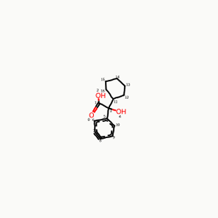 O=C(O)C(O)(c1cc#ccc1)C1CCCCC1